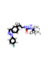 CC1(CCNC(=O)NC(C)(C)C)C=Cc2c(cnn2-c2ccc(F)cc2)C1